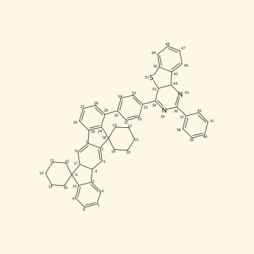 C1=C2C(=CC3c4ccccc4C4(CCCCC4)C13)C1(CCCCC1)c1c2cccc1-c1ccc(C2=NC(c3ccccc3)=NC3c4ccccc4SC23)cc1